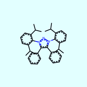 CC(C)c1cccc(C(C)C)c1-n1n[n+](-c2c(C(C)C)cccc2C(C)C)c(-c2ccccc2)c1-c1ccccc1